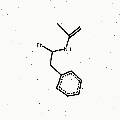 C=C(C)NC(CC)Cc1ccccc1